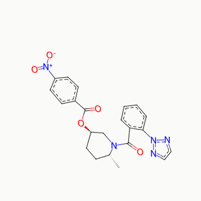 C[C@@H]1CC[C@@H](OC(=O)c2ccc([N+](=O)[O-])cc2)CN1C(=O)c1ccccc1-n1nccn1